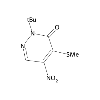 CSc1c([N+](=O)[O-])cnn(C(C)(C)C)c1=O